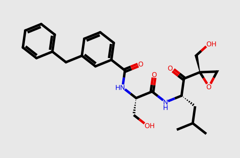 CC(C)C[C@H](NC(=O)[C@H](CO)NC(=O)c1cccc(Cc2ccccc2)c1)C(=O)[C@]1(CO)CO1